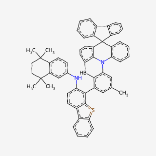 Cc1cc(-c2c(Nc3ccc4c(c3)C(C)(C)CCC4(C)C)ccc3c2sc2ccccc23)c2c(c1)N1c3ccccc3C3(c4ccccc4-c4ccccc43)c3cccc(c31)B2